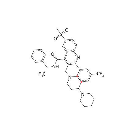 CS(=O)(=O)c1ccc2nc(-c3cccc(C(F)(F)F)c3)c(CN3CCC(N4CCCCC4)CC3)c(C(=O)N[C@@H](c3ccccc3)C(F)(F)F)c2c1